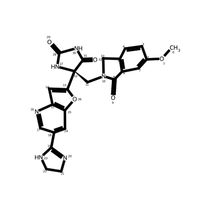 COc1ccc2c(c1)C(=O)N(C[C@@]1(c3cc4ncc(C5=NCCN5)cc4o3)NC(=O)NC1=O)C2